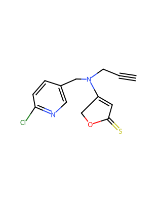 C#CCN(Cc1ccc(Cl)nc1)C1=CC(=S)OC1